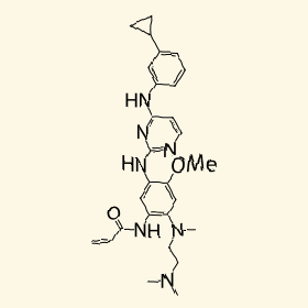 C=CC(=O)Nc1cc(Nc2nccc(Nc3cccc(C4CC4)c3)n2)c(OC)cc1N(C)CCN(C)C